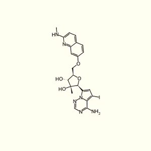 CNc1ccc2ccc(OC[C@H]3O[C@@H](c4cc(I)c5c(N)ncnn45)[C@](C)(O)[C@@H]3O)cc2n1